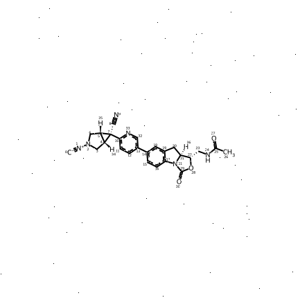 [C-]#[N+]N1C[C@@H]2[C@H](C1)[C@@]2(C#N)c1ccc(-c2ccc3c(c2)C[C@H]2[C@H](CNC(C)=O)OC(=O)N32)cn1